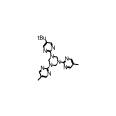 Cc1cnc(N2CN(c3ncc(C)cn3)CN(c3ncc(C(C)(C)C)cn3)C2)nc1